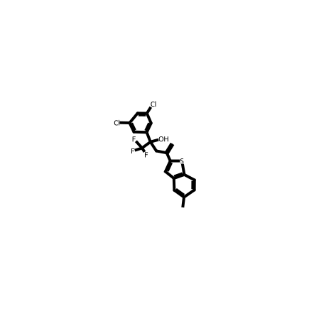 C=C(CC(O)(c1cc(Cl)cc(Cl)c1)C(F)(F)F)c1cc2cc(C)ccc2s1